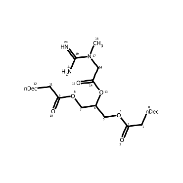 CCCCCCCCCCCC(=O)OCC(COC(=O)CCCCCCCCCCC)OC(=O)CN(C)C(=N)N